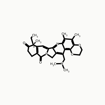 CC[C@@]1(C)C(=O)CCc2c1cc1n(c2=O)Cc2c-1nc1c(C)c(C)c3c(c1c2CN(C)C)OCCO3